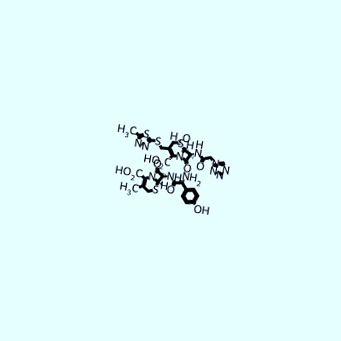 CC1=C(C(=O)O)N2C(=O)[C@@H](NC(=O)[C@H](N)c3ccc(O)cc3)[C@H]2SC1.Cc1nnc(SCC2=C(C(=O)O)N3C(=O)[C@@H](NC(=O)Cn4cnnn4)[C@H]3SC2)s1.O